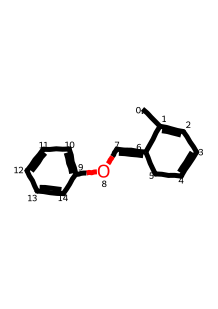 [CH2]C1=CC=CCC1=COc1ccccc1